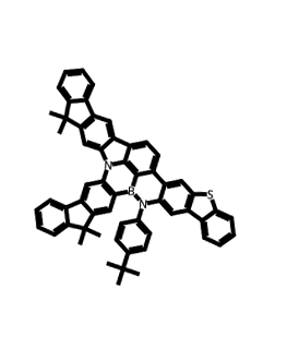 CC(C)(C)c1ccc(N2B3c4cc5c(cc4-n4c6cc7c(cc6c6ccc(c3c64)-c3cc4sc6ccccc6c4cc32)-c2ccccc2C7(C)C)-c2ccccc2C5(C)C)cc1